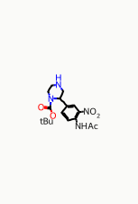 CC(=O)Nc1ccc(C2CNCCN2C(=O)OC(C)(C)C)cc1[N+](=O)[O-]